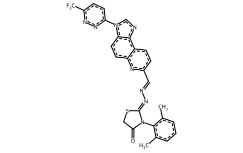 Cc1cccc(C)c1N1C(=O)CSC1=NN=Cc1ccc2c(ccc3c2ncn3-c2ccc(C(F)(F)F)nn2)n1